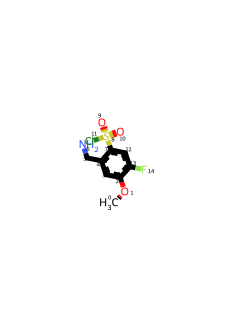 COc1cc(CN)c(S(=O)(=O)Cl)cc1F